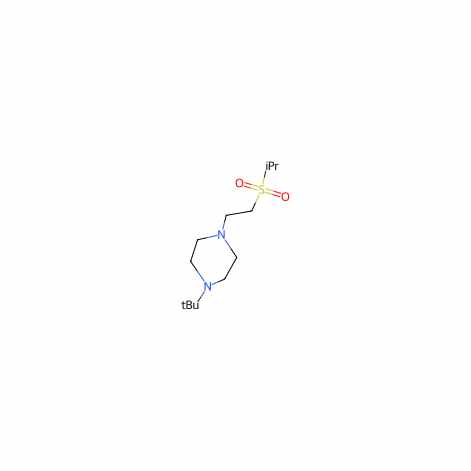 CC(C)S(=O)(=O)CCN1CCN(C(C)(C)C)CC1